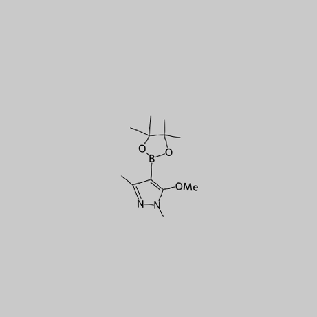 COc1c(B2OC(C)(C)C(C)(C)O2)c(C)nn1C